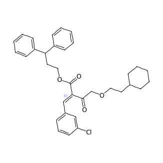 O=C(COCCC1CCCCC1)/C(=C\c1cccc(Cl)c1)C(=O)OCCC(c1ccccc1)c1ccccc1